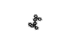 c1ccc(-n2c3ccccc3c3ccc(-c4ccc5c(c4)c4c6ccccc6ccc4n5-c4ccccc4)cc32)cc1